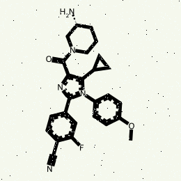 COc1ccc(-n2c(-c3ccc(C#N)c(F)c3)nc(C(=O)N3CCC[C@@H](N)C3)c2C2CC2)cc1